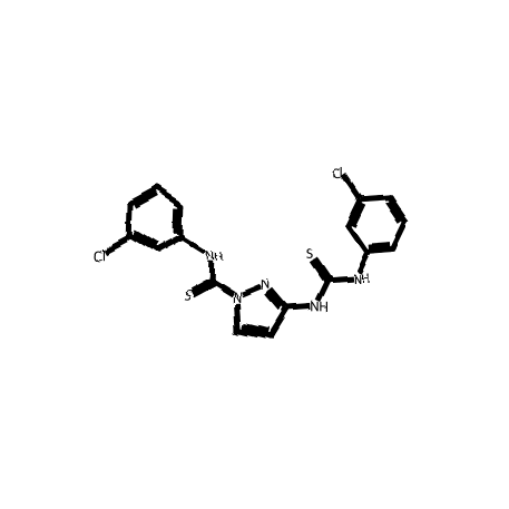 S=C(Nc1cccc(Cl)c1)Nc1ccn(C(=S)Nc2cccc(Cl)c2)n1